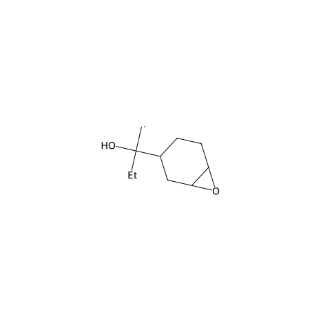 [CH2]C(O)(CC)C1CCC2OC2C1